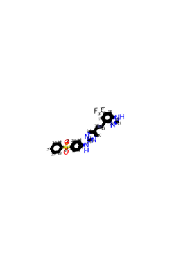 O=S(=O)(c1ccc(Nc2ncc(/C=C/c3cc(C(F)(F)F)cc4[nH]cnc34)cn2)cc1)C1CCCCC1